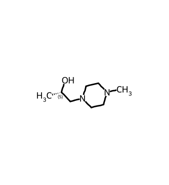 C[C@H](O)CN1CCN(C)CC1